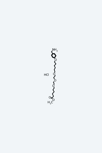 COC(=O)CCCCCOCCOCCOCCCCCCOc1ccc(CN)cc1.Cl